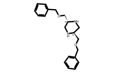 c1ccc(COC[C@H]2CN[C@H](COCc3ccccc3)CN2)cc1